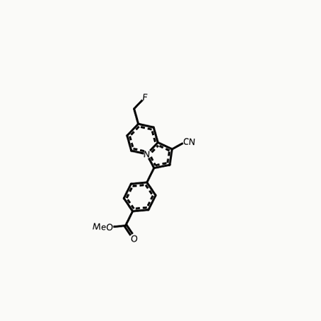 COC(=O)c1ccc(-c2cc(C#N)c3cc(CF)ccn23)cc1